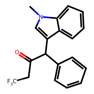 Cn1cc(C(C(=O)CC(F)(F)F)c2ccccc2)c2ccccc21